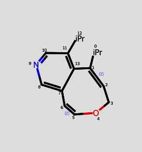 CC(C)/C1=C/CO/C=C\c2cncc(C(C)C)c21